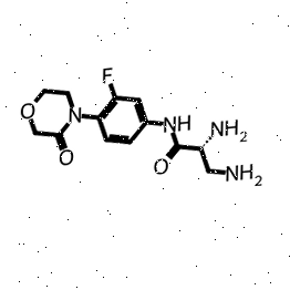 NC[C@@H](N)C(=O)Nc1ccc(N2CCOCC2=O)c(F)c1